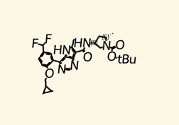 Cc1[nH]c2c(-c3cc(C(F)F)ccc3OCC3CC3)ncnc2c1C(=O)N[C@H]1C[C@H](C)N(C(=O)OC(C)(C)C)C1